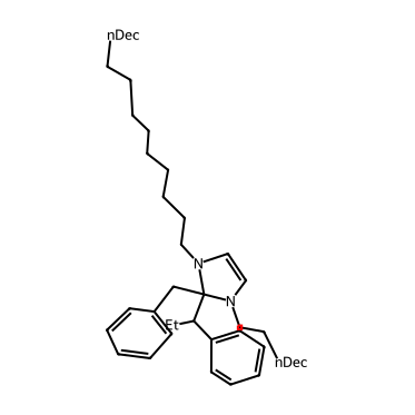 CCCCCCCCCCCCCCCCCCCN1C=CN(CCCCCCCCCCCC)C1(Cc1ccccc1)C(CC)c1ccccc1